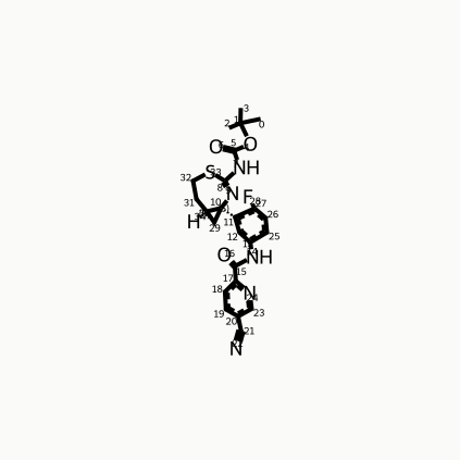 CC(C)(C)OC(=O)NC1=N[C@@]2(c3cc(NC(=O)c4ccc(C#N)cn4)ccc3F)C[C@H]2CCS1